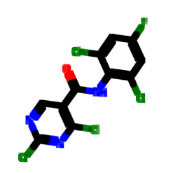 O=C(Nc1c(Cl)cc(F)cc1Cl)c1cnc(Cl)nc1Cl